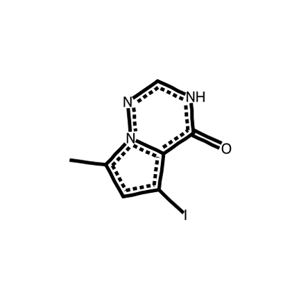 Cc1cc(I)c2c(=O)[nH]cnn12